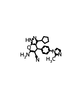 Cc1nccn1-c1ccc(C2C(C#N)=C(N)Oc3[nH]nc(C4CCCC4)c32)cc1